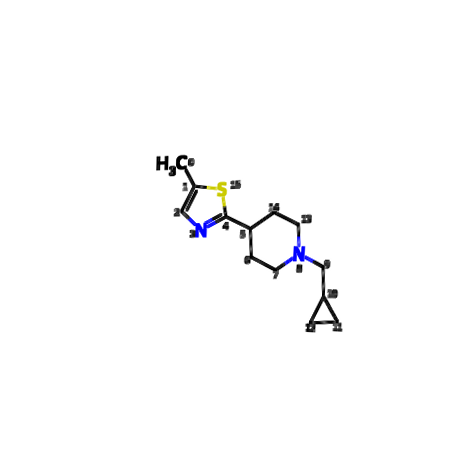 Cc1cnc(C2CCN(CC3CC3)CC2)s1